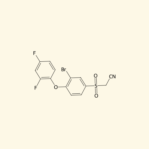 N#CCS(=O)(=O)c1ccc(Oc2ccc(F)cc2F)c(Br)c1